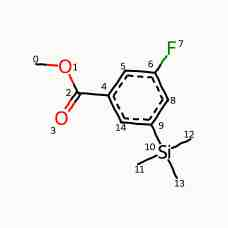 COC(=O)c1cc(F)cc([Si](C)(C)C)c1